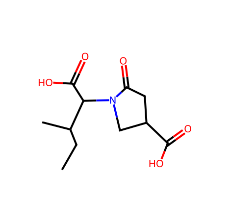 CCC(C)C(C(=O)O)N1CC(C(=O)O)CC1=O